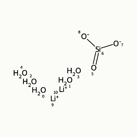 O.O.O.O.O.O=[Si]([O-])[O-].[Li+].[Li+]